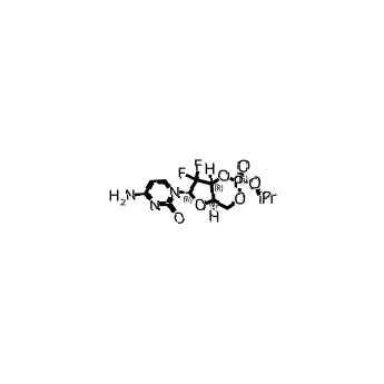 CC(C)O[P@]1(=O)OC[C@H]2O[C@@H](n3ccc(N)nc3=O)C(F)(F)[C@@H]2O1